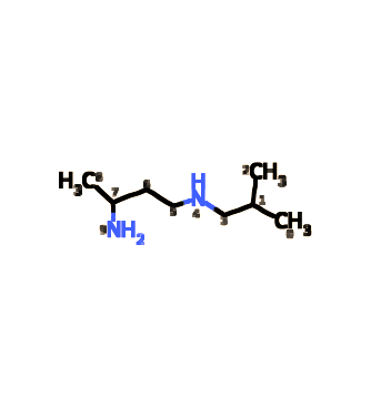 CC(C)CNCCC(C)N